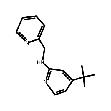 CC(C)(C)c1ccnc(NCc2ccccn2)c1